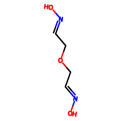 ON=CCOCC=NO